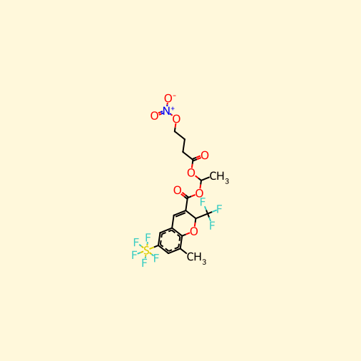 Cc1cc(S(F)(F)(F)(F)F)cc2c1OC(C(F)(F)F)C(C(=O)OC(C)OC(=O)CCCO[N+](=O)[O-])=C2